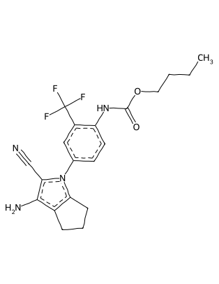 CCCCOC(=O)Nc1ccc(-n2c(C#N)c(N)c3c2CCC3)cc1C(F)(F)F